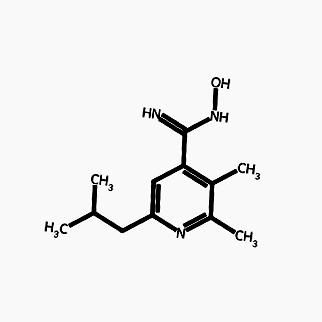 Cc1nc(CC(C)C)cc(C(=N)NO)c1C